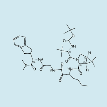 CCCCC(NC(=O)[C@@H]1[C@H]2[C@@H](CN1C(=O)[C@@H](NC(=O)OC(C)(C)C)C(C)(C)C)C2(C)C)C(=O)C(=O)NCC(=O)N[C@H](C(=O)N(C)C)C1Cc2ccccc2C1